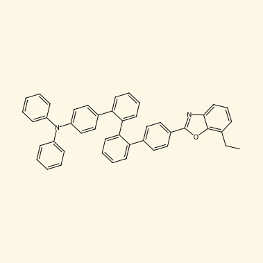 CCc1cccc2nc(-c3ccc(-c4ccccc4-c4ccccc4-c4ccc(N(c5ccccc5)c5ccccc5)cc4)cc3)oc12